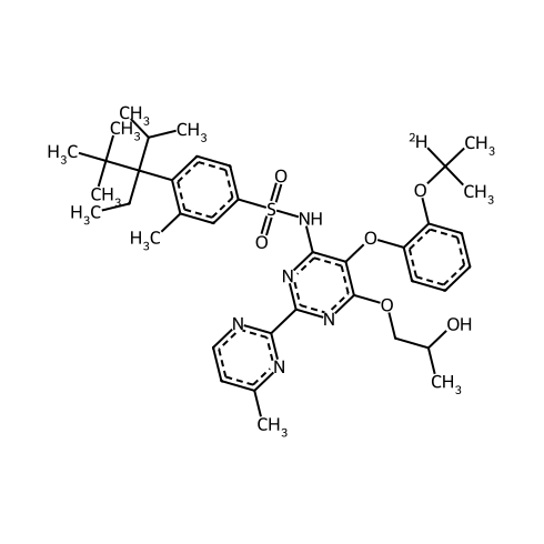 [2H]C(C)(C)Oc1ccccc1Oc1c(NS(=O)(=O)c2ccc(C(CC)(C(C)C)C(C)(C)C)c(C)c2)nc(-c2nccc(C)n2)nc1OCC(C)O